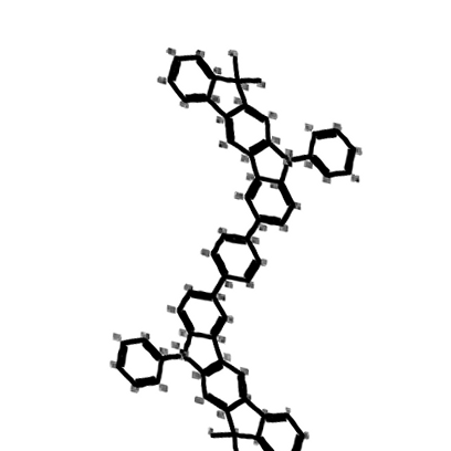 CC1(C)c2ccccc2-c2cc3c4cc(-c5ccc(-c6ccc7c(c6)c6cc8c(cc6n7-c6ccccc6)C(C)(C)c6ccccc6-8)cc5)ccc4n(-c4ccccc4)c3cc21